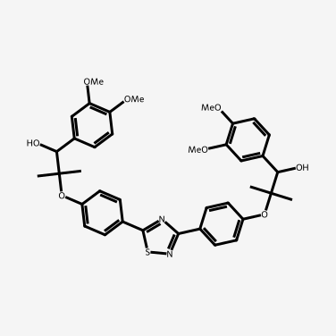 COc1ccc(C(O)C(C)(C)Oc2ccc(-c3nsc(-c4ccc(OC(C)(C)C(O)c5ccc(OC)c(OC)c5)cc4)n3)cc2)cc1OC